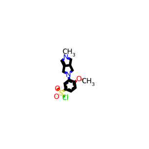 COc1ccc(S(=O)(=O)Cl)cc1N1CC2=CN(C)CC2C1